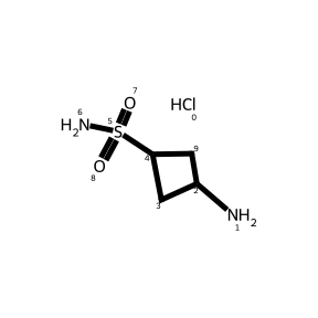 Cl.NC1CC(S(N)(=O)=O)C1